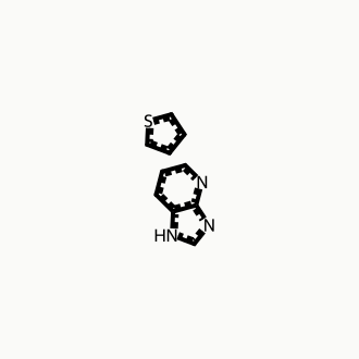 c1ccsc1.c1cnc2nc[nH]c2c1